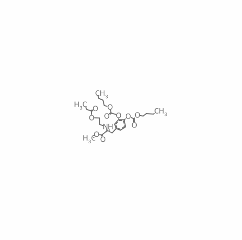 CCCCOC(=O)Oc1ccc(C[C@H](NCCOC(=O)CC)C(=O)OC)cc1OC(=O)OCCCC